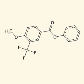 COc1ccc(C(=O)Oc2ccccc2)cc1C(F)(F)F